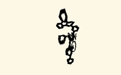 c1ccc(-c2ccc3c(c2)oc2nc(-c4cccc(-c5ccc6c7ccccc7c7ccccc7c6c5)c4)nc(-c4ccccc4)c23)cc1